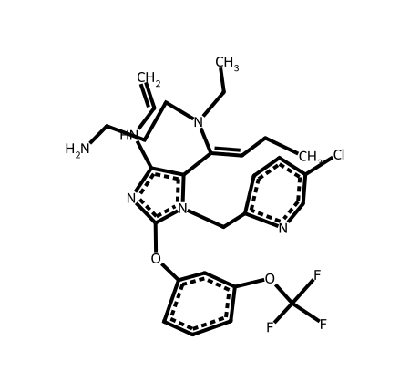 C=CNc1nc(Oc2cccc(OC(F)(F)F)c2)n(Cc2ccc(Cl)cn2)c1/C(=C/CC)N(CC)CCCN